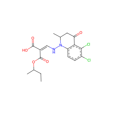 CCC(C)OC(=O)C(=CNN1c2ccc(Cl)c(Cl)c2C(=O)CC1C)C(=O)O